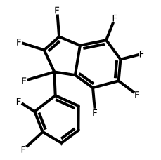 FC1=C(F)C(F)(c2cc[c]c(F)c2F)c2c(F)c(F)c(F)c(F)c21